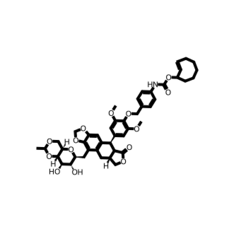 COc1cc([C@@H]2c3cc4c(c(C[C@@H]5O[C@@H]6COC(C)O[C@H]6[C@H](O)[C@H]5O)c3C[C@H]3COC(=O)C32)OCO4)cc(OC)c1OCc1ccc(NC(=O)OC2/C=C/CCCCC2)cc1